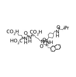 CC(C)CC(=O)NCC1CCC(C(=O)N[C@H](Cc2ccc3ccccc3c2)C(=O)NCCCC[C@H](NC(=O)N[C@@H](CCC(=O)O)C(=O)O)C(=O)O)CC1